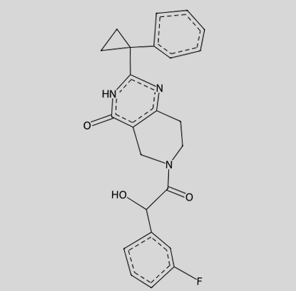 O=C(C(O)c1cccc(F)c1)N1CCc2nc(C3(c4ccccc4)CC3)[nH]c(=O)c2C1